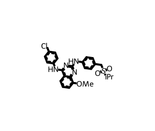 COc1cccc2c(Nc3ccc(Cl)cc3)nc(Nc3ccc(CS(=O)(=O)C(C)C)cc3)nc12